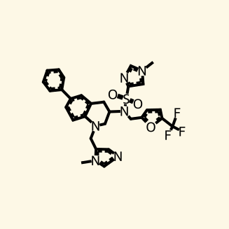 Cn1cnc(S(=O)(=O)N(Cc2ccc(C(F)(F)F)o2)C2Cc3cc(-c4ccccc4)ccc3N(Cc3cncn3C)C2)c1